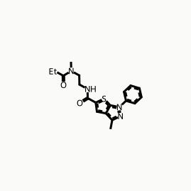 CCC(=O)N(C)CCNC(=O)c1cc2c(C)nn(-c3ccccc3)c2s1